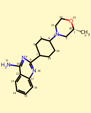 C[C@@H]1CN(C2CCC(c3nc(N)c4ccccc4n3)CC2)CCO1